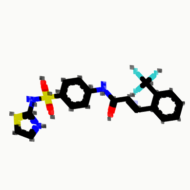 O=C(/C=C/c1ccccc1C(F)(F)F)Nc1ccc(S(=O)(=O)Nc2nccs2)cc1